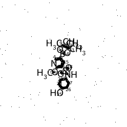 COc1ncc(B2OC(C)(C)C(C)(C)O2)cc1S(=O)(=O)NC1CCC(O)CC1